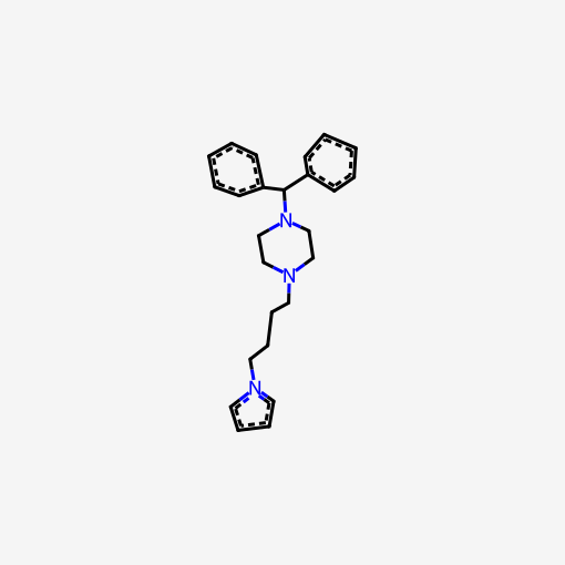 c1ccc(C(c2ccccc2)N2CCN(CCCCn3cccc3)CC2)cc1